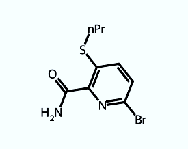 CCCSc1ccc(Br)nc1C(N)=O